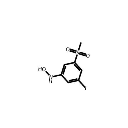 CS(=O)(=O)c1cc(I)cc(NO)c1